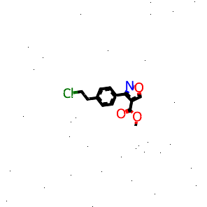 COC(=O)c1conc1-c1ccc(CCCl)cc1